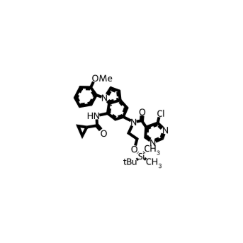 COc1ccccc1-n1ccc2cc(N(CCO[Si](C)(C)C(C)(C)C)C(=O)c3cncnc3Cl)cc(NC(=O)C3CC3)c21